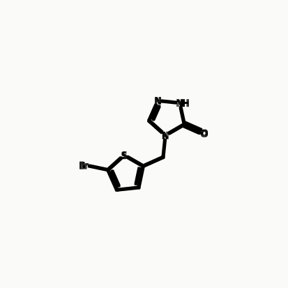 O=c1[nH]ncn1Cc1ccc(Br)s1